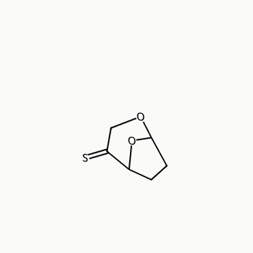 S=C1COC2CCC1O2